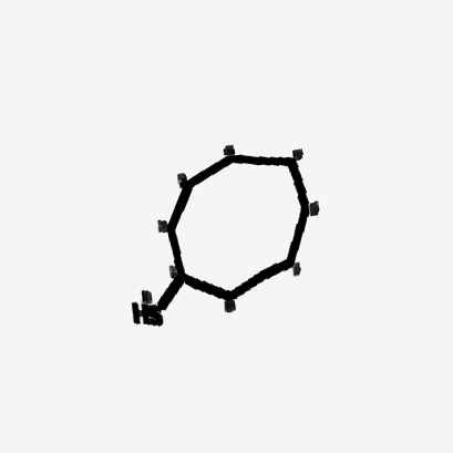 SC1C[CH]CCCCC1